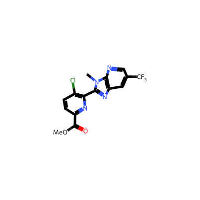 COC(=O)c1ccc(Cl)c(-c2nc3cc(C(F)(F)F)cnc3n2C)n1